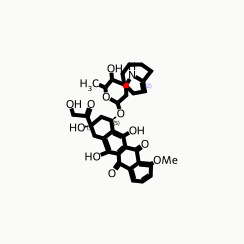 COc1cccc2c1C(=O)c1c(O)c3c(c(O)c1C2=O)C[C@@](O)(C(=O)CO)C[C@@H]3OC1CC(N/C2=C\CCCCCC2)C(O)C(C)O1